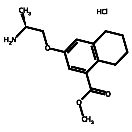 COC(=O)c1cc(OC[C@H](C)N)cc2c1CCCC2.Cl